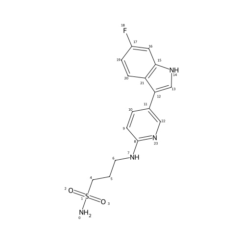 NS(=O)(=O)CCCNc1ccc(-c2c[nH]c3cc(F)ccc23)cn1